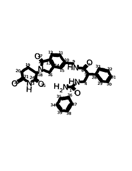 NC(=O)NCC(C(=O)NCc1ccc2c(c1)CN(C1CCC(=O)NC1=O)C2=O)c1ccccc1.c1ccccc1